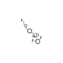 FCCOCc1ccc(C2COC(c3c(F)cccc3F)=N2)cc1